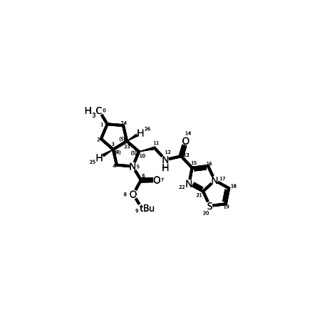 CC1C[C@H]2CN(C(=O)OC(C)(C)C)[C@H](CNC(=O)c3cn4ccsc4n3)[C@H]2C1